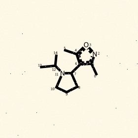 Cc1noc(C)c1C1CCCN1C(C)C